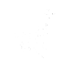 COc1ccc(C(=C2C=CC(=[N+](C)C)C=C2)c2ccc(N(C)C)cc2)c2nsnc12.[O-][Cl+3]([O-])([O-])[O-]